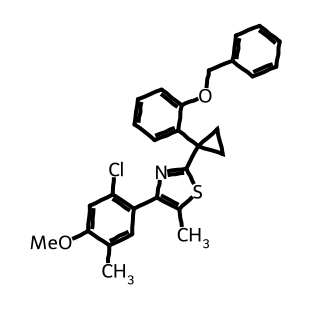 COc1cc(Cl)c(-c2nc(C3(c4ccccc4OCc4ccccc4)CC3)sc2C)cc1C